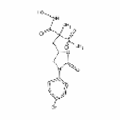 CC(CC1CN(c2ccc(Br)cn2)C(=O)O1)(C(=O)NO)S(C)(=O)=O